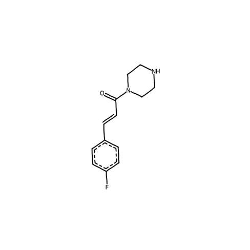 O=C(/C=C/c1ccc(F)cc1)N1CCNCC1